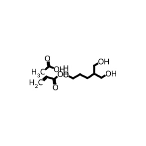 C=CC(=O)O.CC(=O)O.OCCCC(CO)CO